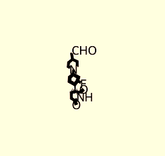 O=CCC1CCN(c2ccc([C@@H]3CCC(=O)NC3=O)c(F)c2)CC1